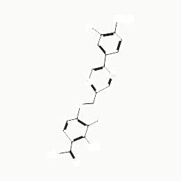 CCCC(=O)c1ccc(OCc2cnc(-c3ccc(C(=O)O)c(Cl)c3)cn2)c(C)c1O